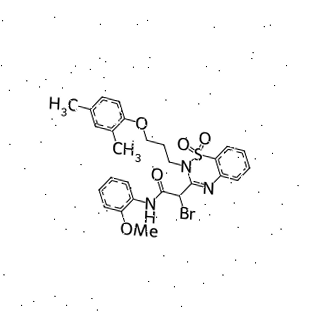 COc1ccccc1NC(=O)C(Br)C1=Nc2ccccc2S(=O)(=O)N1CCCOc1ccc(C)cc1C